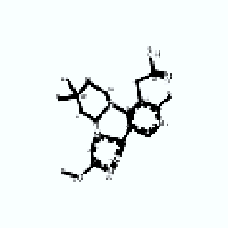 COc1cnc(-c2cnc(C)c(CC(=O)O)c2N2CCC(C)(C)CC2)cn1